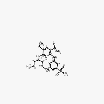 CCc1nc(C(N)=O)c(Nc2cccc(S(C)(=O)=O)c2)nc1NC(COC)COC